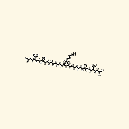 CC(C)CCC(CCOC(=O)CCCCCCCCCC(CCCCCCCCCC(=O)OCCC(CCC(C)C)C(C)C)OC(=O)CCCC#N)C(C)C